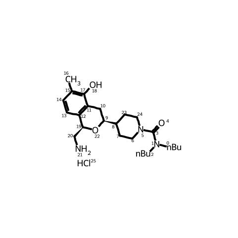 CCCCN(CCCC)C(=O)N1CCC([C@@H]2Cc3c(ccc(C)c3O)[C@H](CN)O2)CC1.Cl